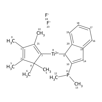 CC1=C(C)C(C)(C)[C]([Ti+2][CH]2C(P(C)C)=Cc3ccccc32)=C1C.[F-].[F-]